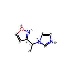 C[C](c1ccon1)n1ccnc1